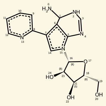 NC1NC=Nc2c1c(-c1ccccn1)cn2[C@@H]1O[C@H](CO)[C@@H](O)[C@H]1O